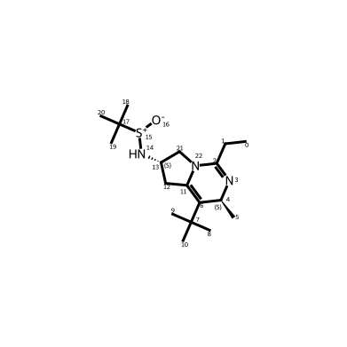 CCC1=N[C@@H](C)C(C(C)(C)C)=C2C[C@H](N[S+]([O-])C(C)(C)C)CN12